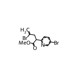 C=C(Br)CC(C(=O)OC)c1ccc(Br)cn1